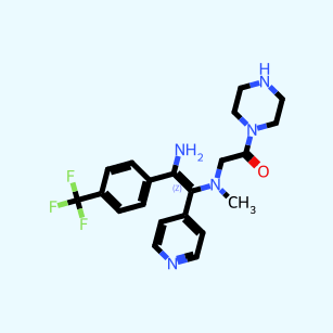 CN(CC(=O)N1CCNCC1)/C(=C(\N)c1ccc(C(F)(F)F)cc1)c1ccncc1